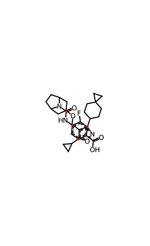 O=C(O)c1ccc(NC(=O)N2C3CCC2CC(OCc2c(C4CCC5(CC4)CC5)noc2C2CC2)C3)c(F)c1